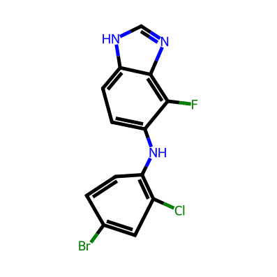 Fc1c(Nc2ccc(Br)cc2Cl)ccc2[nH]cnc12